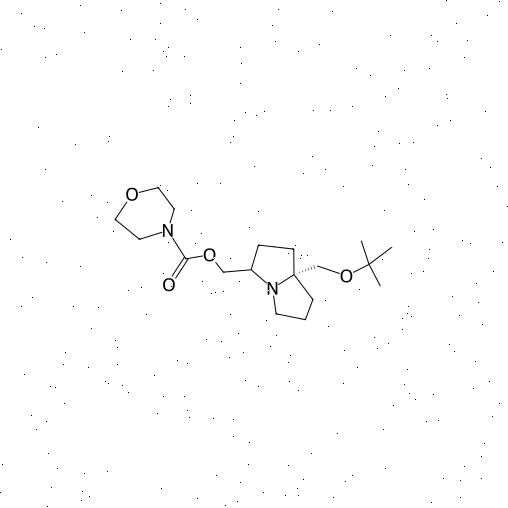 CC(C)(C)OC[C@]12CCCN1C(COC(=O)N1CCOCC1)CC2